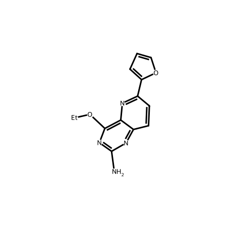 CCOc1nc(N)nc2ccc(-c3ccco3)nc12